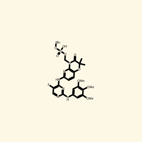 COc1cc(Nc2ncc(F)c(Nc3ccc4c(n3)N(COP(=O)(O)OC(C)(C)C)C(=O)C(C)(C)O4)n2)cc(OC)c1OC